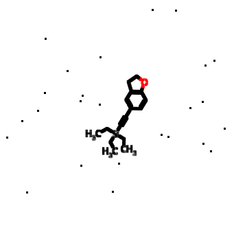 CC[Si](C#Cc1ccc2c(c1)CCO2)(CC)CC